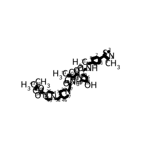 Cc1ncsc1-c1ccc([C@H](C)NC(=O)[C@@H]2C[C@@H](O)CN2C(=O)[C@@H](NC(=O)CN2CCC(CN3CCN(C(=O)OC(C)(C)C)CC3)CC2)C(C)(C)C)cc1